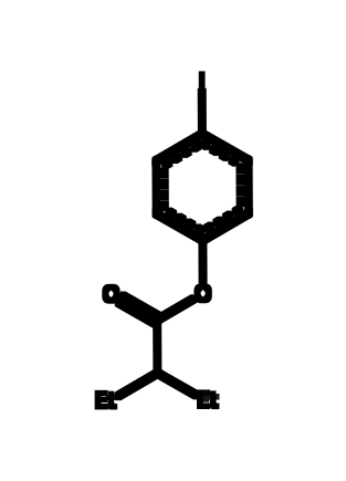 CCC(CC)C(=O)Oc1ccc(I)cc1